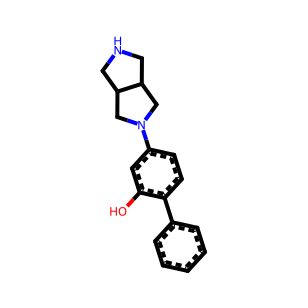 Oc1cc(N2CC3CNCC3C2)ccc1-c1ccccc1